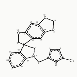 Clc1ccc(CN2CC3(COc4cc5c(cc43)OCO5)c3ccccc32)s1